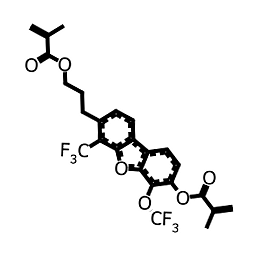 C=C(C)C(=O)OCCCc1ccc2c(oc3c(OC(F)(F)F)c(OC(=O)C(=C)C)ccc32)c1C(F)(F)F